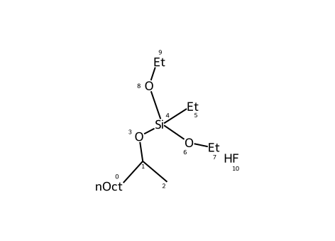 CCCCCCCCC(C)O[Si](CC)(OCC)OCC.F